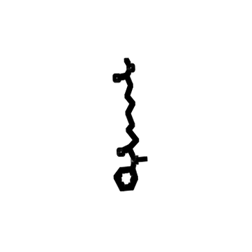 COC(=O)CCCCCCCC(=O)N(C)c1ccccc1